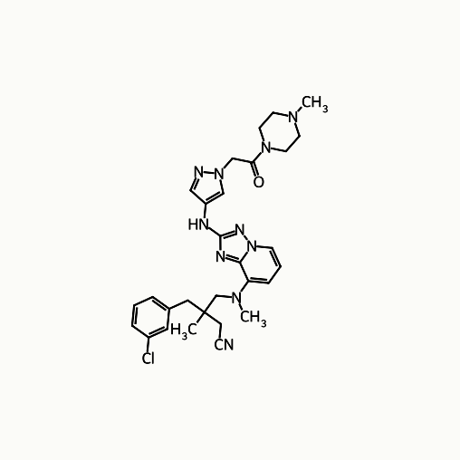 CN1CCN(C(=O)Cn2cc(Nc3nc4c(N(C)CC(C)(CC#N)Cc5cccc(Cl)c5)cccn4n3)cn2)CC1